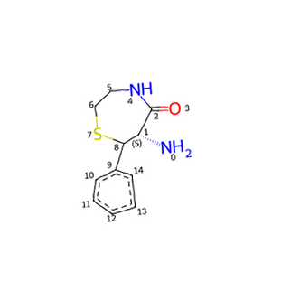 N[C@H]1C(=O)NCCSC1c1ccccc1